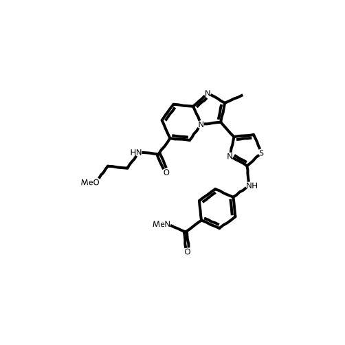 CNC(=O)c1ccc(Nc2nc(-c3c(C)nc4ccc(C(=O)NCCOC)cn34)cs2)cc1